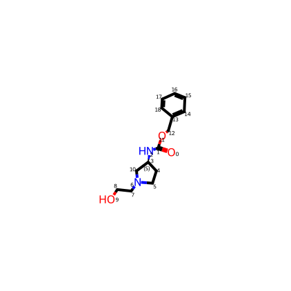 O=C(N[C@H]1CCN(CCO)C1)OCc1ccccc1